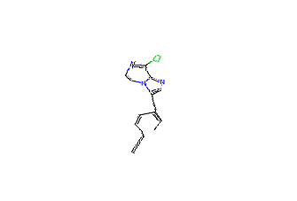 C=C/C=C\C(=C/C)c1cnc2c(Cl)nccn12